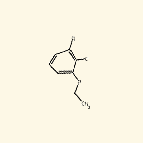 CCOc1cccc(Cl)c1Cl